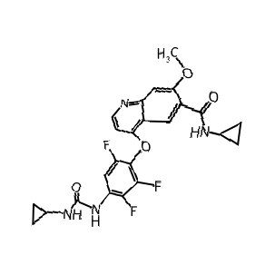 COc1cc2nccc(Oc3c(F)cc(NC(=O)NC4CC4)c(F)c3F)c2cc1C(=O)NC1CC1